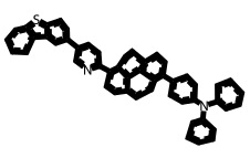 c1ccc(N(c2ccccc2)c2ccc(-c3ccc4ccc5c(-c6ccc(-c7ccc8sc9ccccc9c8c7)cn6)ccc6ccc3c4c65)cc2)cc1